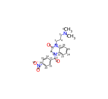 CN(C)CCCN1C(=O)CN(C(=O)c2ccc([N+](=O)[O-])cc2)c2ccccc21